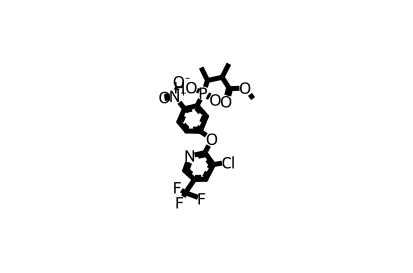 COC(=O)C(C)C(C)P(=O)(O)c1cc(Oc2ncc(C(F)(F)F)cc2Cl)ccc1[N+](=O)[O-]